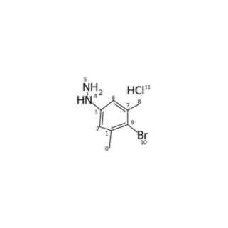 Cc1cc(NN)cc(C)c1Br.Cl